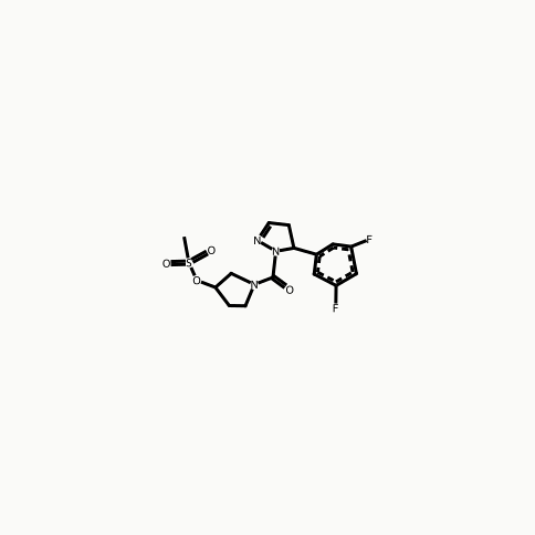 CS(=O)(=O)OC1CCN(C(=O)N2N=CCC2c2cc(F)cc(F)c2)C1